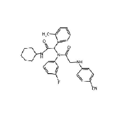 Cc1ccccc1C(C(=O)NC1CCCCC1)N(C(=O)CNc1ccc(C#N)cc1)c1cccc(F)c1